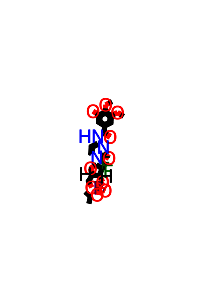 COc1cc(C(=O)Nc2ccn(C3O[C@@H]4COP(=O)(OC(C)C)O[C@H]4C3(F)F)c(=O)n2)cc(OC)c1OC